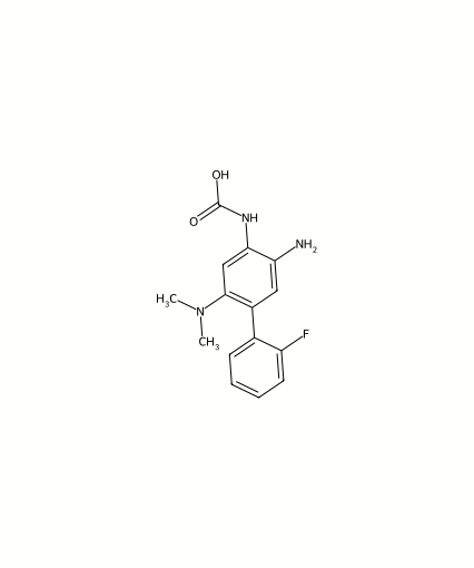 CN(C)c1cc(NC(=O)O)c(N)cc1-c1ccccc1F